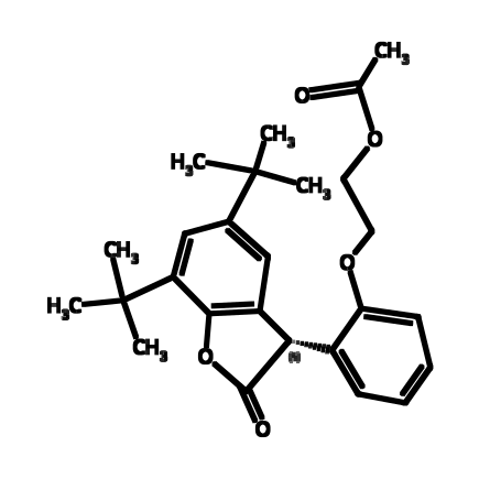 CC(=O)OCCOc1ccccc1[C@@H]1C(=O)Oc2c1cc(C(C)(C)C)cc2C(C)(C)C